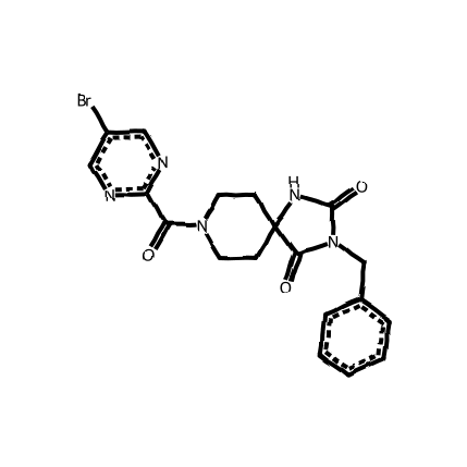 O=C(c1ncc(Br)cn1)N1CCC2(CC1)NC(=O)N(Cc1ccccc1)C2=O